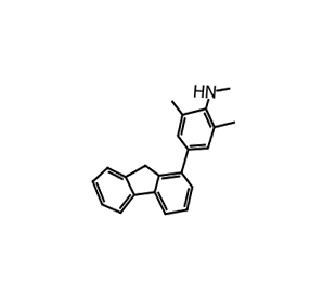 CNc1c(C)cc(-c2cccc3c2Cc2ccccc2-3)cc1C